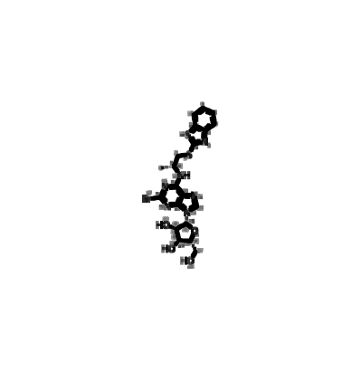 C[C@H](CSc1nc2ccccc2s1)Nc1nc(Br)nc2c1ncn2[C@@H]1O[C@H](CO)[C@@H](O)[C@H]1O